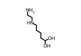 NCCNCCCCC(O)O